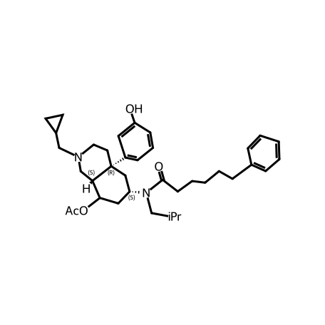 CC(=O)OC1C[C@@H](N(CC(C)C)C(=O)CCCCCc2ccccc2)C[C@]2(c3cccc(O)c3)CCN(CC3CC3)C[C@@H]12